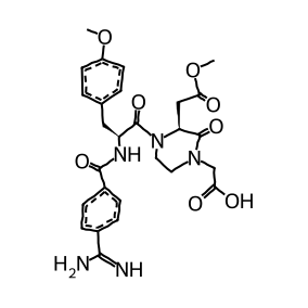 COC(=O)C[C@H]1C(=O)N(CC(=O)O)CCN1C(=O)[C@H](Cc1ccc(OC)cc1)NC(=O)c1ccc(C(=N)N)cc1